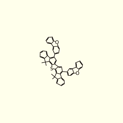 CC1(C)c2ccccc2-c2c(-c3ccc4oc5ccccc5c4c3)cc3c(sc4c5c(c(-c6ccc7oc8ccccc8c7c6)cc43)-c3ccccc3C5(C)C)c21